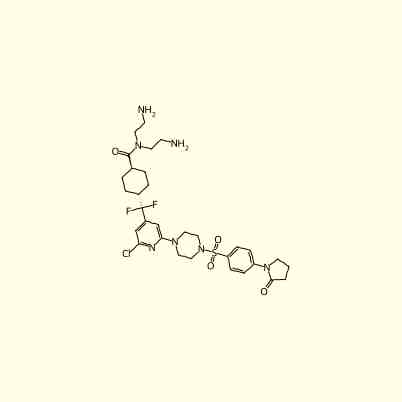 NCCN(CCN)C(=O)[C@H]1CC[C@H](C(F)(F)c2cc(Cl)nc(N3CCN(S(=O)(=O)c4ccc(N5CCCC5=O)cc4)CC3)c2)CC1